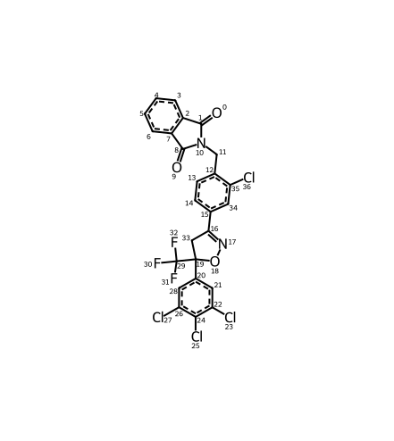 O=C1c2ccccc2C(=O)N1Cc1ccc(C2=NOC(c3cc(Cl)c(Cl)c(Cl)c3)(C(F)(F)F)C2)cc1Cl